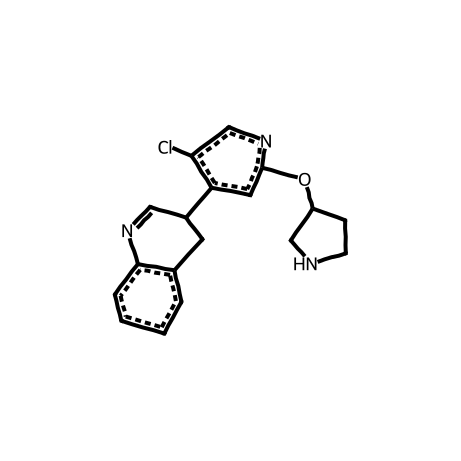 Clc1cnc(OC2CCNC2)cc1C1C=Nc2ccccc2C1